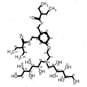 CCC(CC)C(=O)SCc1ccc(OCCN(C[C@H](O)[C@@H](O)[C@H](O)[C@H](O)CO)C[C@H](O)[C@@H](O)[C@H](O)[C@H](O)CO)cc1CSC(=O)C(CC)CC